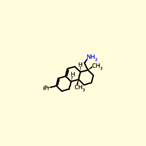 CC(C)C1=CC2=CC[C@H]3[C@](C)(CN)CCC[C@]3(C)[C@H]2CC1